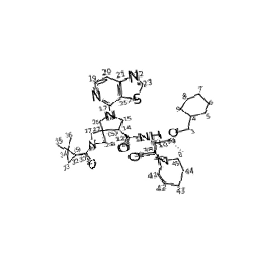 C[C@@H](OCC1CCCCC1)[C@@H](NC(=O)[C@@H]1CN(c2nccc3ncsc23)CC12CN(C(=O)[C@H]1CC1(C)C)C2)C(=O)N1CCCCC1